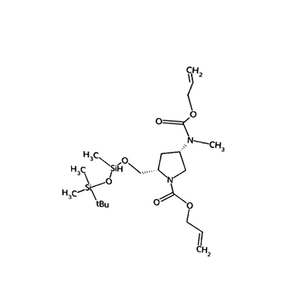 C=CCOC(=O)N(C)[C@H]1C[C@@H](CO[SiH](C)O[Si](C)(C)C(C)(C)C)N(C(=O)OCC=C)C1